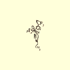 C/C=C/c1cnc2c(c1)nc(-c1ncc(C(F)(F)F)cc1S(=O)(=O)CC)n2C